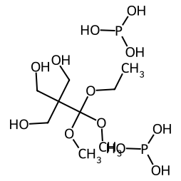 CCOC(OC)(OC)C(CO)(CO)CO.OP(O)O.OP(O)O